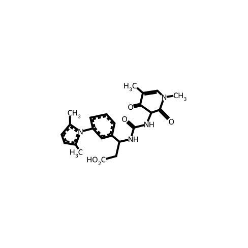 CC1=CN(C)C(=O)C(NC(=O)NC(CC(=O)O)c2cccc(-n3c(C)ccc3C)c2)C1=O